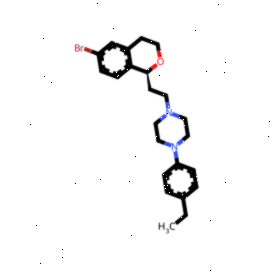 CCc1ccc(N2CCN(CC[C@@H]3OCCc4cc(Br)ccc43)CC2)cc1